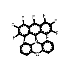 Fc1c(F)c(F)c2c(N3c4ccccc4Oc4ccccc43)c3c(F)c(F)c(F)c(F)c3c(F)c2c1F